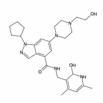 CC1=CC(C)=C(CNC(=O)c2cc(N3CCN(CCO)CC3)cc3c2cnn3C2CCCC2)C(O)N1